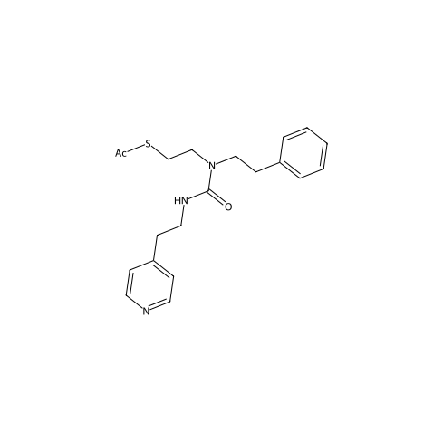 CC(=O)SCCN(CCc1ccccc1)C(=O)NCCc1ccncc1